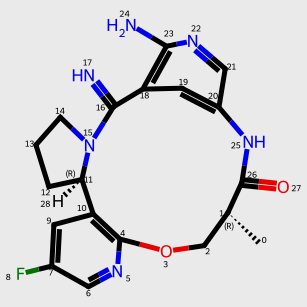 C[C@@H]1COc2ncc(F)cc2[C@H]2CCCN2C(=N)c2cc(cnc2N)NC1=O